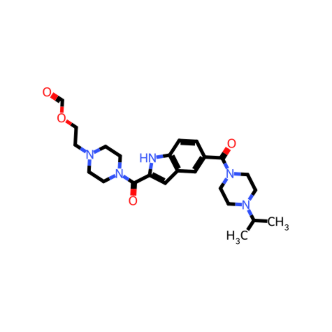 CC(C)N1CCN(C(=O)c2ccc3[nH]c(C(=O)N4CCN(CCOC=O)CC4)cc3c2)CC1